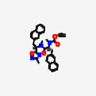 Cc1noc([C@@H](Cc2ccc3ccccc3c2)N(C)C(=O)[C@@H](Cc2ccc3ccccc3c2)N(C)C(=O)OC(C)(C)C)n1